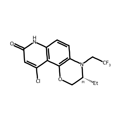 CC[C@@H]1COc2c(ccc3[nH]c(=O)cc(Cl)c23)N1CC(F)(F)F